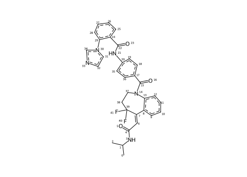 CC(C)NC(=O)/C=C1/c2ccccc2N(C(=O)c2ccc(NC(=O)c3ccccc3-n3ccnc3)cc2)CCC1(F)F